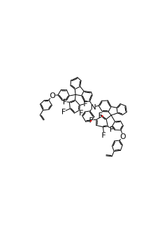 C=Cc1ccc(Oc2ccc(C3(c4c(F)c(F)cc(F)c4F)c4ccccc4-c4ccc(N(c5ccccc5)c5ccc6c(c5)C(c5ccc(Oc7ccc(C=C)cc7)cc5)(c5c(F)c(F)cc(F)c5F)c5ccccc5-6)cc43)cc2)cc1